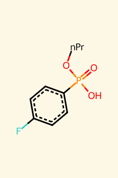 CCCOP(=O)(O)c1ccc(F)cc1